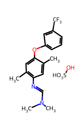 Cc1cc(Oc2cccc(C(F)(F)F)c2)c(C)cc1N=CN(C)C.O=S(=O)(O)O